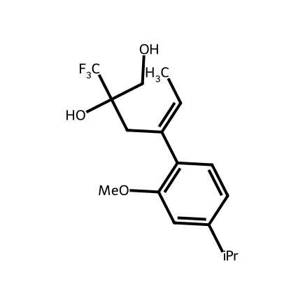 CC=C(CC(O)(CO)C(F)(F)F)c1ccc(C(C)C)cc1OC